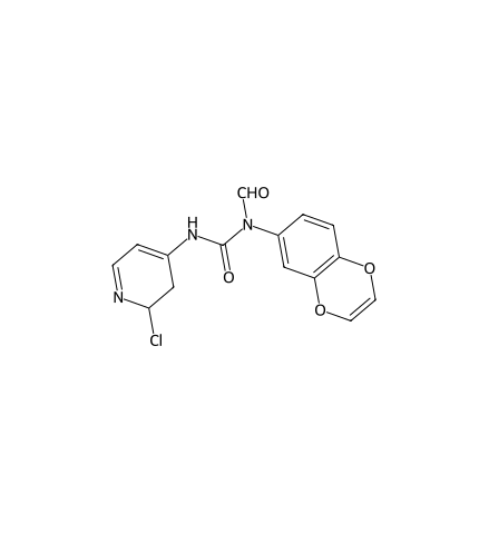 O=CN(C(=O)NC1=CC=NC(Cl)C1)c1ccc2c(c1)OC=CO2